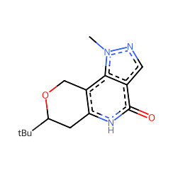 Cn1ncc2c(=O)[nH]c3c(c21)COC(C(C)(C)C)C3